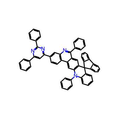 c1ccc(-c2cc(-c3ccc4c(c3)nc(-c3ccccc3)c3cc5c(cc34)N(c3ccccc3)c3ccccc3C53c4ccccc4-c4ccccc43)nc(-c3ccccc3)n2)cc1